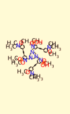 CCOP(C)(=O)c1cc(C#Cc2ccc(OC)c(N(CC)CC)c2)cc(CN2CCN(Cc3cc(C#Cc4ccc(OC)c(N(CC)CC)c4)cc(P(C)(=O)O)n3)CCN(Cc3cc(C#Cc4ccc(OC)c(N(CC)CC)c4)cc(P(C)(=O)O)n3)CC2)n1